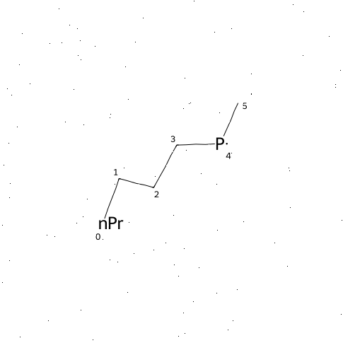 CCCCCC[P]C